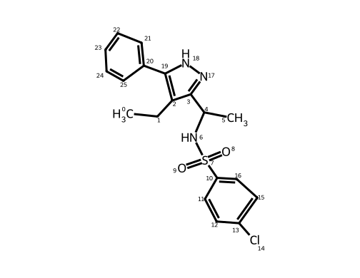 CCc1c(C(C)NS(=O)(=O)c2ccc(Cl)cc2)n[nH]c1-c1ccccc1